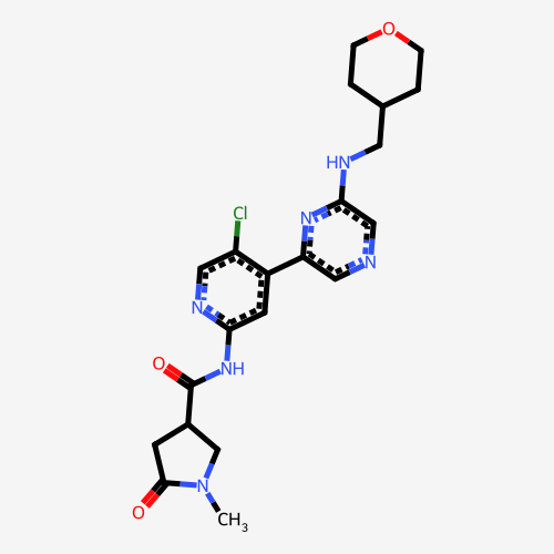 CN1CC(C(=O)Nc2cc(-c3cncc(NCC4CCOCC4)n3)c(Cl)cn2)CC1=O